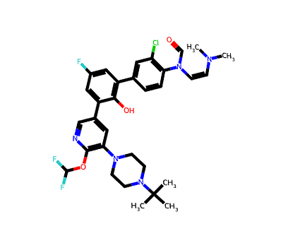 CN(C)/C=C\N(C=O)c1ccc(-c2cc(F)cc(-c3cnc(OC(F)F)c(N4CCN(C(C)(C)C)CC4)c3)c2O)cc1Cl